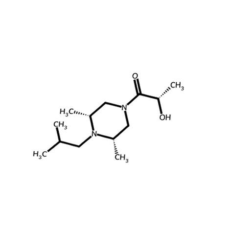 CC(C)CN1[C@H](C)CN(C(=O)[C@H](C)O)C[C@@H]1C